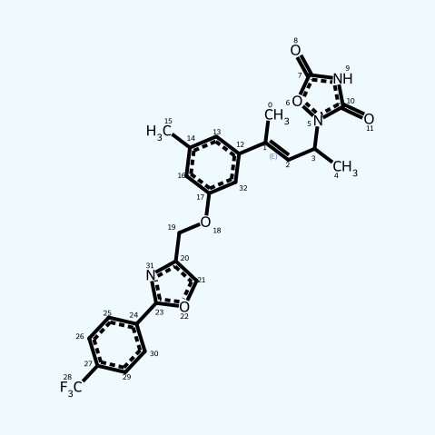 C/C(=C\C(C)n1oc(=O)[nH]c1=O)c1cc(C)cc(OCc2coc(-c3ccc(C(F)(F)F)cc3)n2)c1